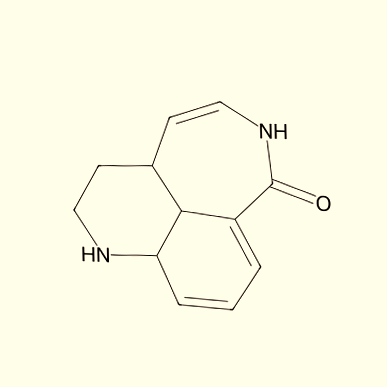 O=C1NC=CC2CCNC3C=CC=C1C23